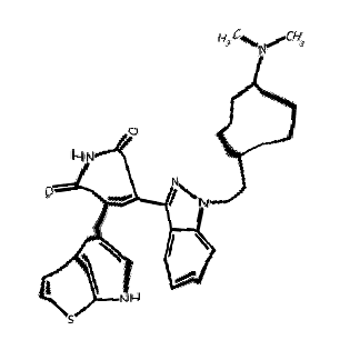 CN(C)C1CCC(Cn2nc(C3=C(c4c[nH]c5sccc45)C(=O)NC3=O)c3ccccc32)CC1